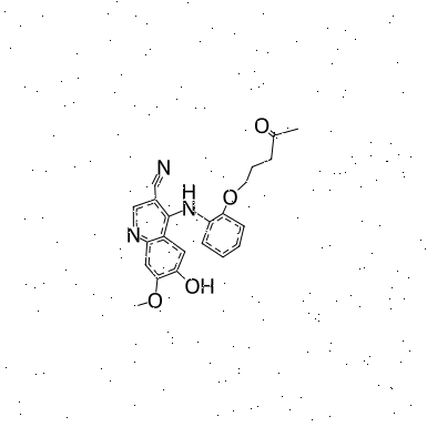 COc1cc2ncc(C#N)c(Nc3ccccc3OCCCC(C)=O)c2cc1O